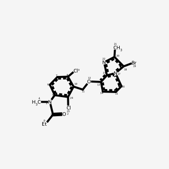 CCC(=O)N(C)c1ccc(Cl)c(COc2cccn3c(Br)c(C)nc23)c1Cl